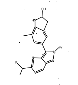 Cc1cc(-c2c3nc(C(F)F)ccc3nn2C(C)C)cc2c1NC(O)C2